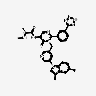 CN[C@@H](C)C(=O)Nc1cnc(-c2cccc(-c3nn[nH]n3)c2)n(Cc2cncc(-n3cc(C)c4cc(F)ccc43)c2)c1=O